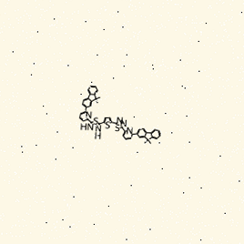 CC1(C)c2ccccc2-c2ccc(-c3cccc(C(=N)SC(=N)c4ccc(-c5nnc(-c6cccc(-c7ccc8c(c7)C(C)(C)c7ccccc7-8)n6)s5)s4)n3)cc21